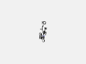 CNC(=O)/C(=C\NC=O)c1cc(C2CC2C#Cc2ccccn2)c(C#N)nn1